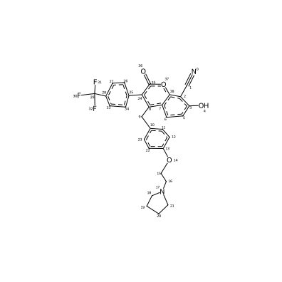 N#Cc1c(O)ccc2c(Cc3ccc(OCCN4CCCC4)cc3)c(-c3ccc(C(F)(F)F)cc3)c(=O)oc12